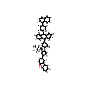 CC1(C)c2cc(-c3ccc4oc5ccccc5c4c3)ccc2-c2ccc(-c3c4ccccc4c(-c4ccc(-c5cccc6ccccc56)cc4)c4ccccc34)cc21